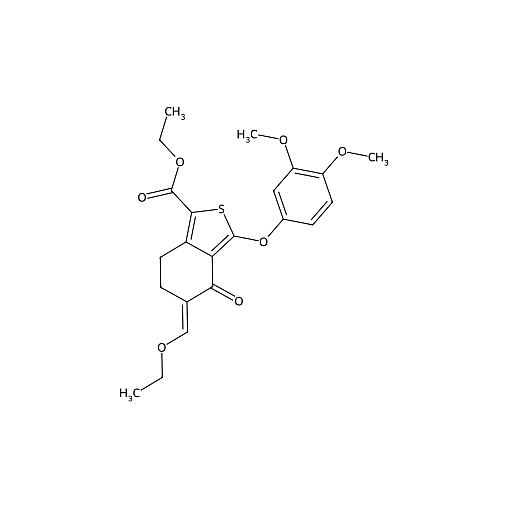 CCOC=C1CCc2c(C(=O)OCC)sc(Oc3ccc(OC)c(OC)c3)c2C1=O